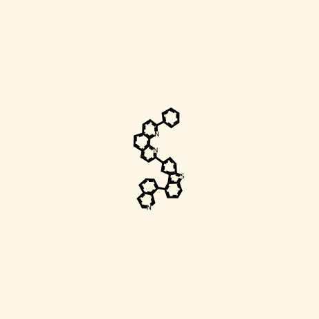 c1ccc(-c2ccc3ccc4ccc(-c5ccc6sc7cccc(-c8cccc9ccncc89)c7c6c5)nc4c3n2)cc1